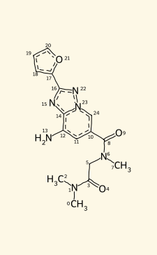 CN(C)C(=O)CN(C)C(=O)c1cc(N)c2nc(-c3ccco3)nn2c1